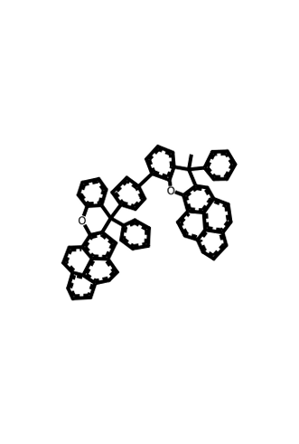 CC1(c2ccccc2)c2cccc(-c3ccc(C4(c5ccccc5)c5ccccc5Oc5c4cc4ccc6cccc7ccc5c4c67)cc3)c2Oc2c1cc1ccc3cccc4ccc2c1c34